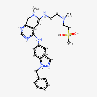 CON1Cc2ncnc(Nc3ccc4c(cnn4Cc4ccccc4)c3)c2C=C1NCCN(C)CCS(C)(=O)=O